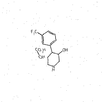 O=C(O)O.OC1CNCCC1c1cccc(C(F)(F)F)c1